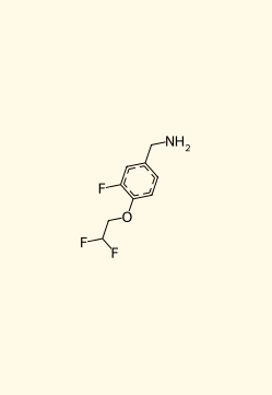 NCc1ccc(OCC(F)F)c(F)c1